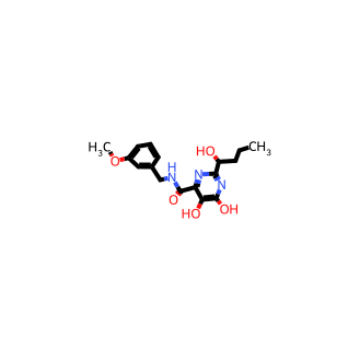 CCCC(O)c1nc(O)c(O)c(C(=O)NCc2cccc(OC)c2)n1